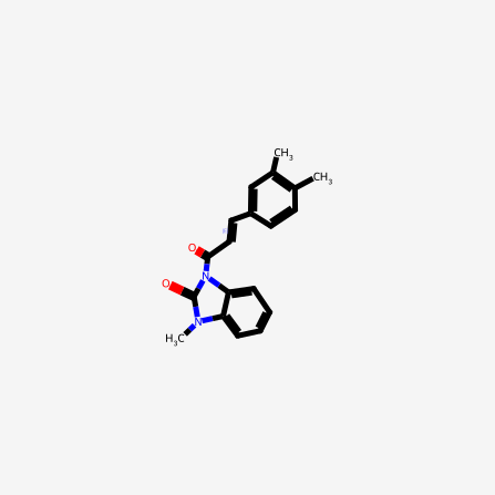 Cc1ccc(/C=C/C(=O)n2c(=O)n(C)c3ccccc32)cc1C